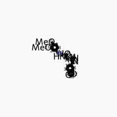 COc1ccc(/C=N/NC(=O)Cn2nnnc2-c2ccc3c(c2)OCO3)cc1OC